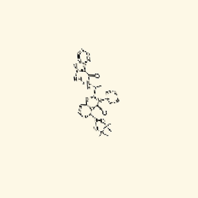 C[C@H](NC(=O)c1c(N)nn2cccnc12)c1cc2cccc(B3OC(C)(C)C(C)(C)O3)c2c(=O)n1-c1ccccc1